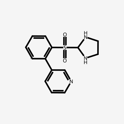 O=S(=O)(c1ccc[c]c1-c1cccnc1)C1NCCN1